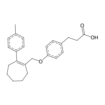 Cc1ccc(C2=C(COc3ccc(CCC(=O)O)cc3)CCCCC2)cc1